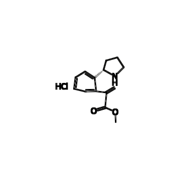 C=C(C(=O)OC)c1ccccc1[C@@H]1CCCN1.Cl